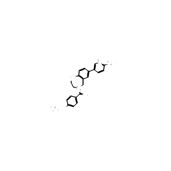 CSc1ccc(C(=O)N2CCOc3ccc(-c4ccc(N)nc4)cc3C2)cc1